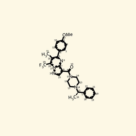 COc1ccc(-c2nc3c(C(=O)N4CCN([C@H](C)c5ccccc5)CC4)cnn3c(C(F)(F)F)c2C)cc1